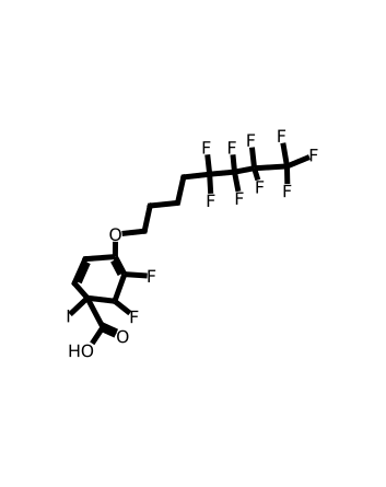 O=C(O)C1(I)C=CC(OCCCCC(F)(F)C(F)(F)C(F)(F)C(F)(F)F)=C(F)C1F